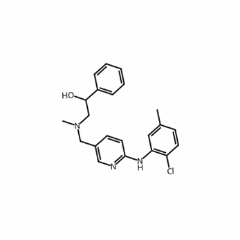 Cc1ccc(Cl)c(Nc2ccc(CN(C)CC(O)c3ccccc3)cn2)c1